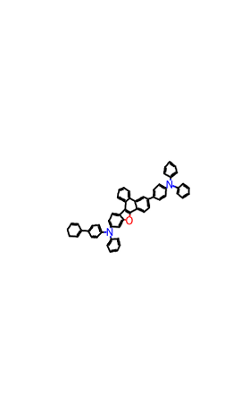 C1=CC(c2ccc(N(c3ccccc3)c3ccc4c(c3)oc3c5ccc(-c6ccc(N(c7ccccc7)c7ccccc7)cc6)cc5c5ccccc5c43)cc2)=CCC1